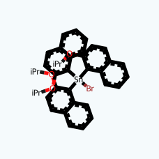 CC(C)Oc1ccc2ccccc2[c]1[Sn]([Br])([c]1c(OC(C)C)ccc2ccccc12)[c]1c(OC(C)C)ccc2ccccc12